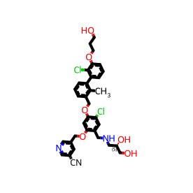 Cc1c(COc2cc(OCc3cncc(C#N)c3)c(CNC[C@H](O)CO)cc2Cl)cccc1-c1cccc(OCCCO)c1Cl